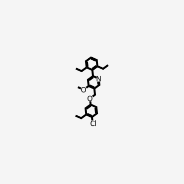 CCc1cc(OCc2cnc(-c3c(CC)cccc3CC)cc2OC)ccc1Cl